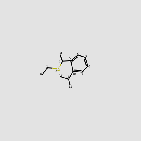 CCSC(C)c1ccccc1C(C)C